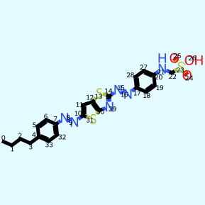 CCCCc1ccc(N=Nc2cc3sc(N=Nc4ccc(NCS(=O)(=O)O)cc4)nc3s2)cc1